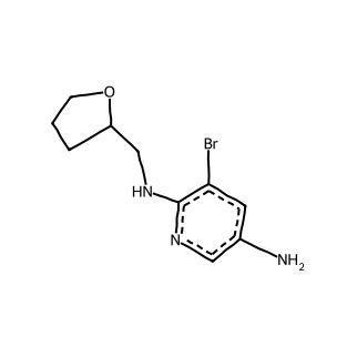 Nc1cnc(NCC2CCCO2)c(Br)c1